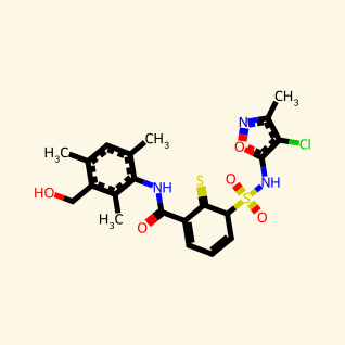 Cc1cc(C)c(NC(=O)C2=CC=CC(S(=O)(=O)Nc3onc(C)c3Cl)C2=S)c(C)c1CO